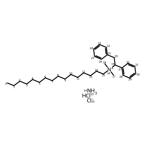 CCCCCCCCCCCCCCCC[N+](C)(C)C(Cc1ccccc1)c1ccccc1.Cl.N.[Cl-]